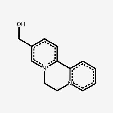 OCc1ccc2[n+](c1)CC[n+]1ccccc1-2